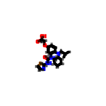 CC(C)CN(c1ccc(OCC(=O)O)cc1NC(=O)Nc1nccs1)C1CCCCC1